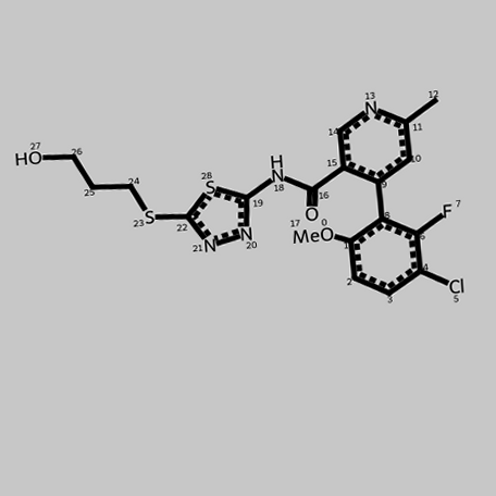 COc1ccc(Cl)c(F)c1-c1cc(C)ncc1C(=O)Nc1nnc(SCCCO)s1